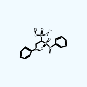 CCOP(=O)(OCC)C(CN(C)c1ccccc1)S(=O)(=O)N(C)c1ccccc1